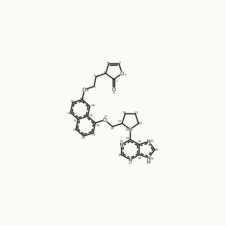 O=C1OC=CC1CCOc1ccc2cccc(OCC3CCCN3c3ncnc4[nH]cnc34)c2c1